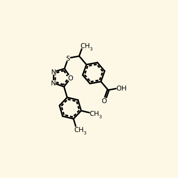 Cc1ccc(-c2nnc(SC(C)c3ccc(C(=O)O)cc3)o2)cc1C